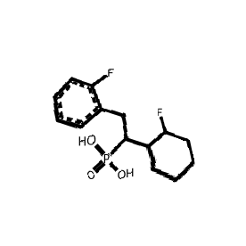 O=P(O)(O)C(Cc1ccccc1F)C1CCCCC1F